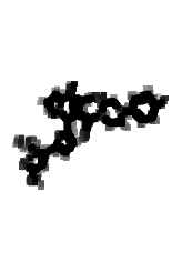 CC1=C(C(=O)N2CCN(c3ccc(F)cc3)CC2)C(c2ccc(-c3cc(C(F)(F)F)nn3C)s2)n2nccc2N1